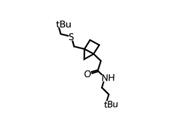 CC(C)(C)CCNC(=O)CC12CCC1(CSCC(C)(C)C)C2